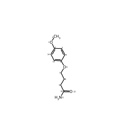 COc1ccc(OCCCC(N)=O)cc1